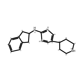 c1ccc2c(c1)CC(Nc1ncc(C3CCNCC3)cn1)C2